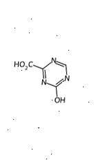 O=C(O)c1ncnc(O)n1